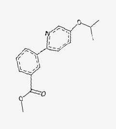 COC(=O)c1cccc(-c2ccc(OC(C)C)cn2)c1